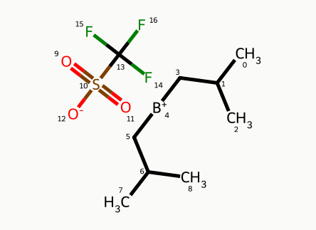 CC(C)C[B+]CC(C)C.O=S(=O)([O-])C(F)(F)F